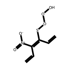 C=C/C(SOOO)=C(\C=C)[N+](=O)[O-]